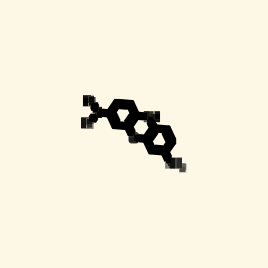 CCN(CC)c1ccc2c(c1)Oc1cc(N)ccc1N2